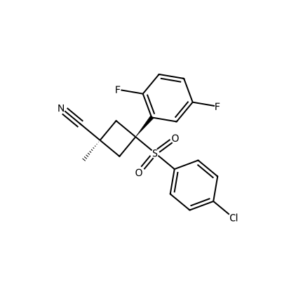 C[C@]1(C#N)C[C@](c2cc(F)ccc2F)(S(=O)(=O)c2ccc(Cl)cc2)C1